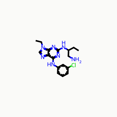 CCC(CN)Nc1nc(Nc2cccc(Cl)c2)c2ncn(CC)c2n1